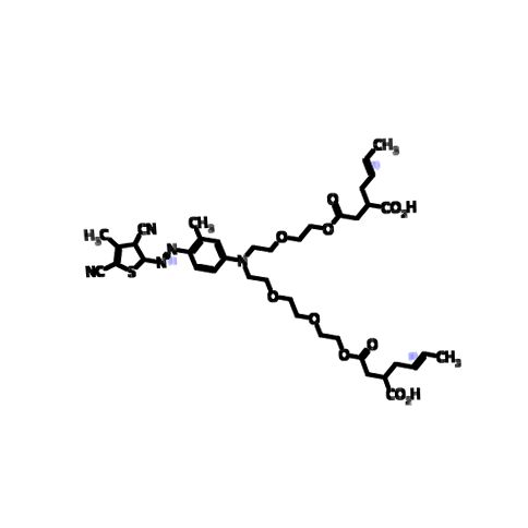 C/C=C/CC(CC(=O)OCCOCCOCCN(CCOCCOC(=O)CC(C/C=C/C)C(=O)O)c1ccc(/N=N/C2SC(C#N)=C(C)C2C#N)c(C)c1)C(=O)O